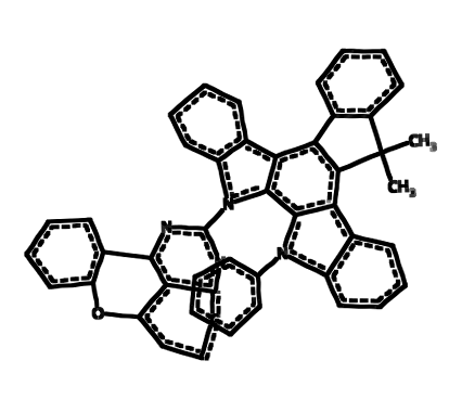 CC1(C)c2ccccc2-c2c1c1c3ccccc3n(-c3ccccc3)c1c1c2c2ccccc2n1-c1nc2c3c(cccc3n1)Oc1ccccc1-2